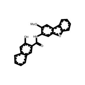 COc1cc2c(cc1NC(=O)c1cc3ccccc3cc1O)oc1ccccc12